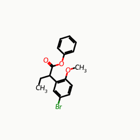 CCC(C(=O)Oc1ccccc1)c1cc(Br)ccc1OC